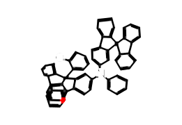 c1ccc(-c2cccc3c2C2(c4ccccc4O3)c3ccccc3-c3ccc(N(c4ccccc4)c4ccc5c(c4)C4(c6ccccc6-c6ccccc64)c4ccccc4-5)cc32)cc1